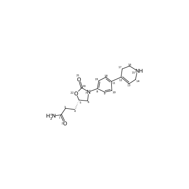 NC(=O)CC[C@H]1CN(c2ccc(C3=CCNCC3)cc2)C(=O)O1